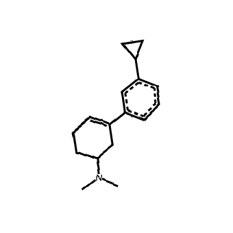 CN(C)C1CCC=C(c2cccc(C3CC3)c2)C1